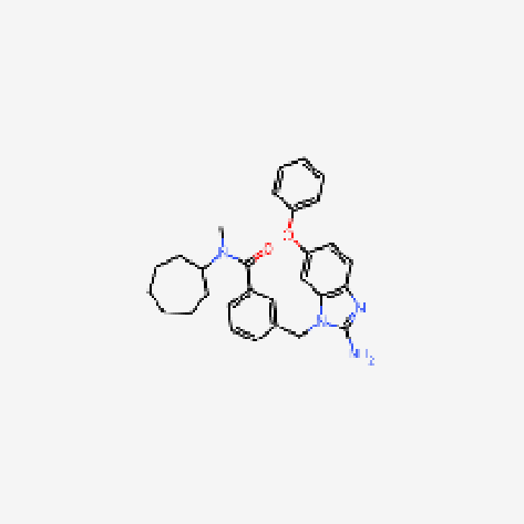 CN(C(=O)c1cccc(Cn2c(N)nc3ccc(Oc4ccccc4)cc32)c1)C1CCCCCC1